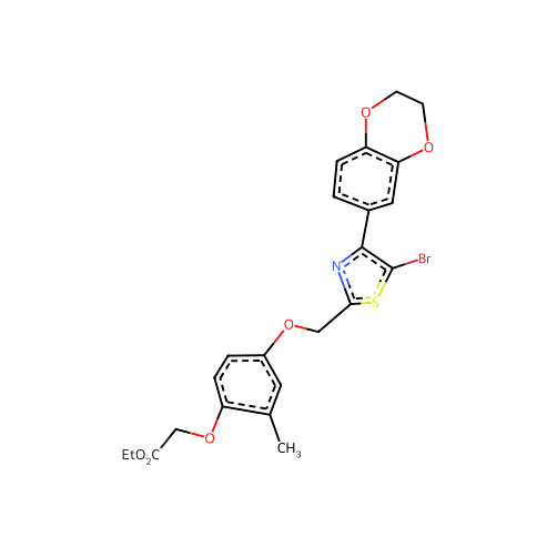 CCOC(=O)COc1ccc(OCc2nc(-c3ccc4c(c3)OCCO4)c(Br)s2)cc1C